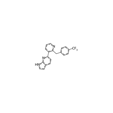 FC(F)(F)c1ccc(Cc2ncccc2-c2ccc3cc[nH]c3n2)cc1